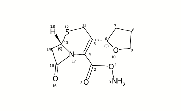 NOC(=O)C1=C([C@@H]2CCCO2)CS[C@H]2CC(=O)N12